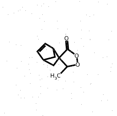 CC1OOC(=O)C12CC1C=CC2C1